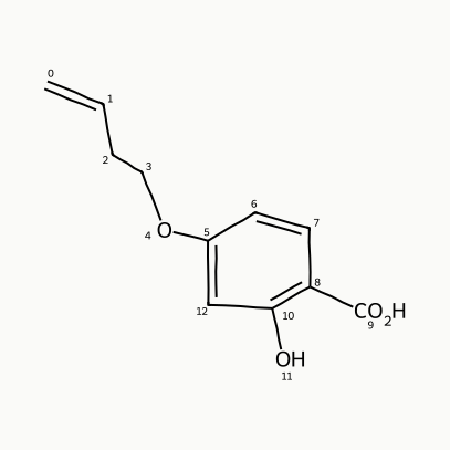 C=CCCOc1ccc(C(=O)O)c(O)c1